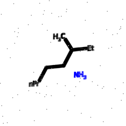 CCCCCC(C)CC.N